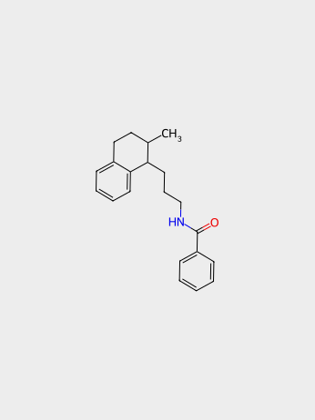 CC1CCc2ccccc2C1CCCNC(=O)c1ccccc1